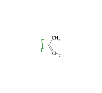 C=CC.FF